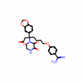 N=C(N)c1ccc(OCCCCC(CC(=O)O)(c2ccc3c(c2)OCO3)N2CCNC(=O)C2=O)cc1